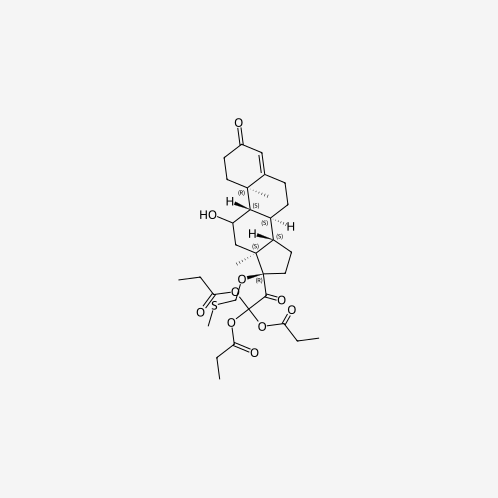 CCC(=O)OC(OC(=O)CC)(OC(=O)CC)C(=O)[C@@]1(OCSC)CC[C@H]2[C@@H]3CCC4=CC(=O)CC[C@]4(C)[C@H]3C(O)C[C@@]21C